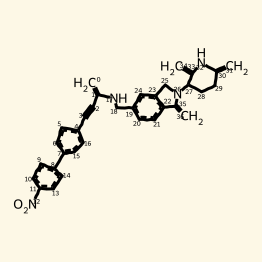 C=C(C#Cc1ccc(-c2ccc([N+](=O)[O-])cc2)cc1)NCc1ccc2c(c1)CN(C1CCC(=C)NC1=C)C2=C